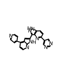 c1cc(-c2ccnc3[nH]c(-c4n[nH]c5ccc(-c6cncnc6)nc45)cc23)ccn1